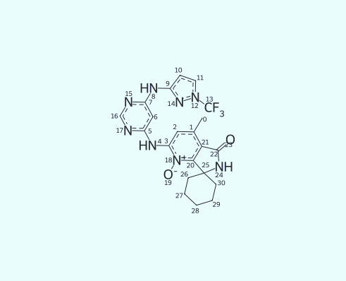 Cc1cc(Nc2cc(Nc3ccn(C(F)(F)F)n3)ncn2)[n+]([O-])c2c1C(=O)NC21CCCCC1